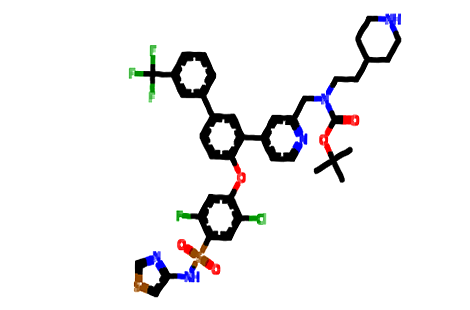 CC(C)(C)OC(=O)N(CCC1CCNCC1)Cc1cc(-c2cc(-c3cccc(C(F)(F)F)c3)ccc2Oc2cc(F)c(S(=O)(=O)Nc3cscn3)cc2Cl)ccn1